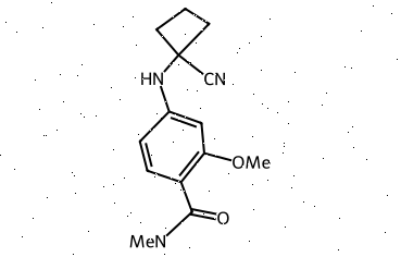 CNC(=O)c1ccc(NC2(C#N)CCC2)cc1OC